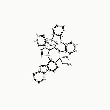 CCC1(C)C2=C(C3N(C)C=CN3c3c1ccc1c3oc3ccccc31)[C@H]1N(c3ccccc3)c3nccnc3N1c1ccccc12